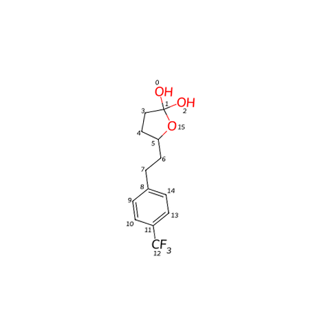 OC1(O)CCC(CCc2ccc(C(F)(F)F)cc2)O1